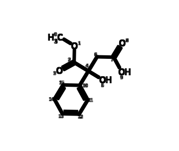 COC(=O)C(O)(CC(=O)O)c1ccccc1